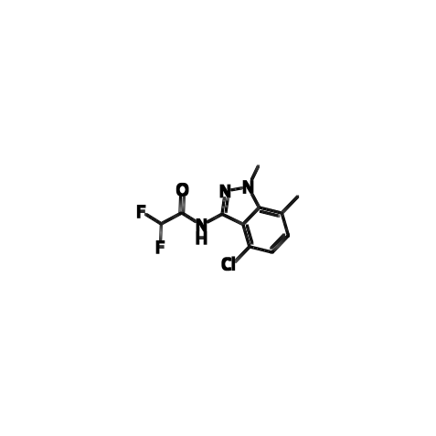 Cc1ccc(Cl)c2c(NC(=O)C(F)F)nn(C)c12